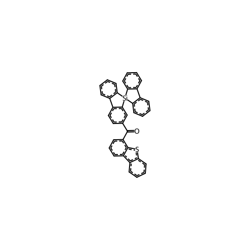 O=C(c1ccc2c(c1)[Si]1(c3ccccc3-c3ccccc31)c1ccccc1-2)c1cccc2c1sc1ccccc12